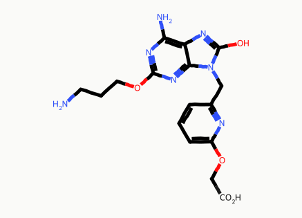 NCCCOc1nc(N)c2nc(O)n(Cc3cccc(OCC(=O)O)n3)c2n1